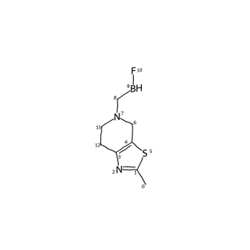 Cc1nc2c(s1)CN(CBF)CC2